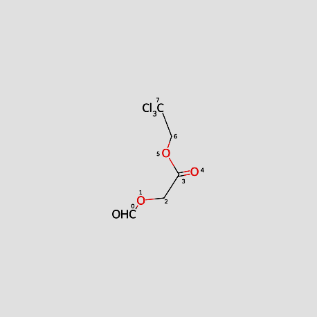 O=COCC(=O)OCC(Cl)(Cl)Cl